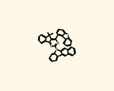 CC1(C)c2ccccc2-c2nc(-n3c4ccccc4c4cc5ccccc5cc43)nc(-c3cccc4sc5ccccc5c34)c21